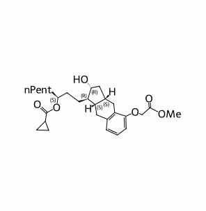 CCCCC[C@@H](CC[C@@H]1[C@H]2Cc3cccc(OCC(=O)OC)c3C[C@H]2C[C@H]1O)OC(=O)C1CC1